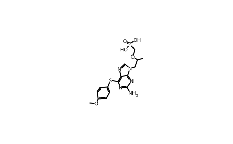 COc1ccc(Sc2nc(N)nc3c2ncn3CC(C)OCP(=O)(O)O)cc1